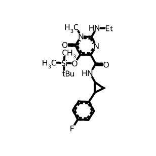 CCNc1nc(C(=O)NC2CC2c2ccc(F)cc2)c(O[Si](C)(C)C(C)(C)C)c(=O)n1C